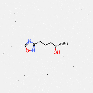 CCCCC(O)CCCc1ncon1